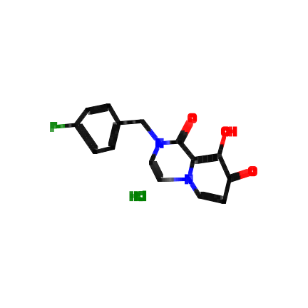 Cl.O=c1ccn2ccn(Cc3ccc(F)cc3)c(=O)c2c1O